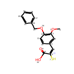 COc1cc(/C=C(/S)C(=O)O)ccc1OCc1ccccc1